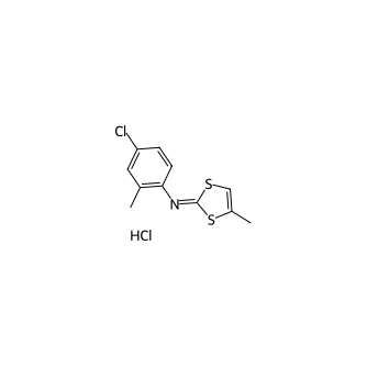 Cc1cs/c(=N\c2ccc(Cl)cc2C)s1.Cl